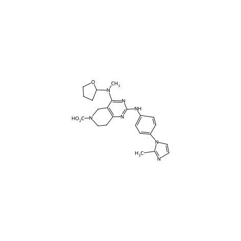 Cc1nccn1-c1ccc(Nc2nc3c(c(N(C)C4CCCO4)n2)CN(C(=O)O)CC3)cc1